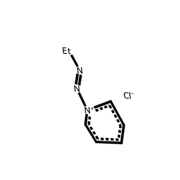 CCN=N[n+]1ccccc1.[Cl-]